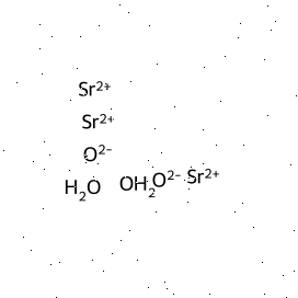 O.O.[O-2].[O-2].[Sr+2].[Sr+2].[Sr+2]